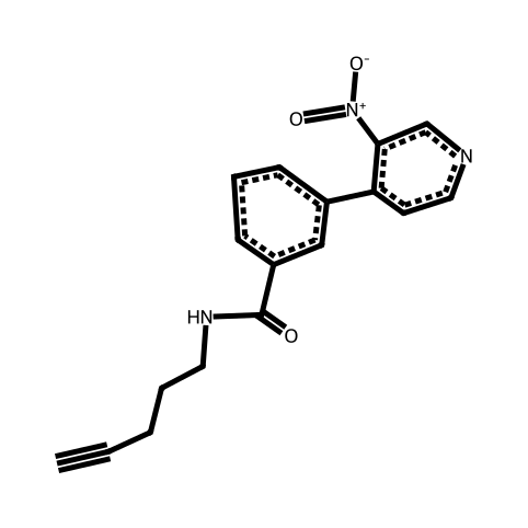 C#CCCCNC(=O)c1cccc(-c2ccncc2[N+](=O)[O-])c1